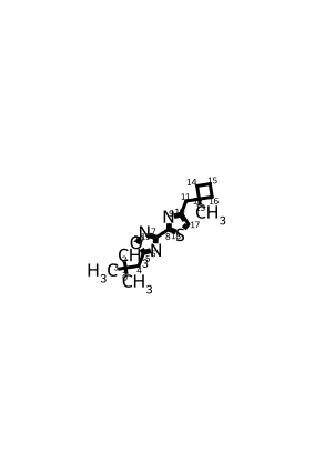 CC(C)(C)Cc1nc(-c2nc(CC3(C)CCC3)cs2)no1